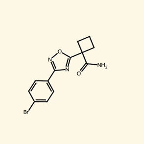 NC(=O)C1(c2nc(-c3ccc(Br)cc3)no2)CCC1